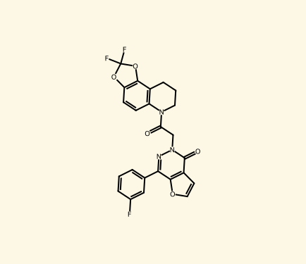 O=C(Cn1nc(-c2cccc(F)c2)c2occc2c1=O)N1CCCc2c1ccc1c2OC(F)(F)O1